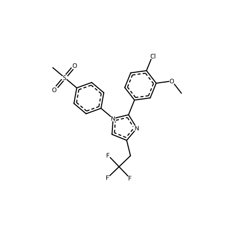 COc1cc(-c2nc(CC(F)(F)F)cn2-c2ccc(S(C)(=O)=O)cc2)ccc1Cl